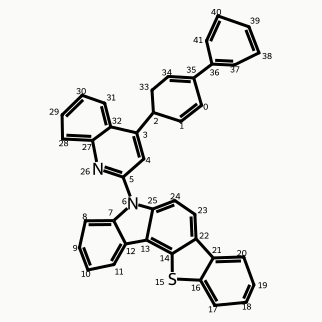 C1=CC(c2cc(-n3c4ccccc4c4c5sc6ccccc6c5ccc43)nc3ccccc23)CC=C1c1ccccc1